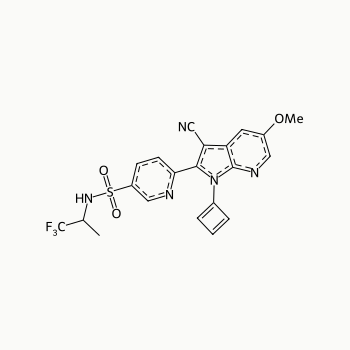 COc1cnc2c(c1)c(C#N)c(-c1ccc(S(=O)(=O)NC(C)C(F)(F)F)cn1)n2C1=CC=C1